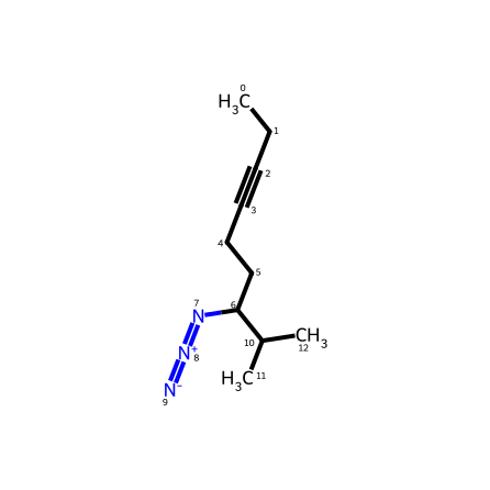 CCC#CCCC(N=[N+]=[N-])C(C)C